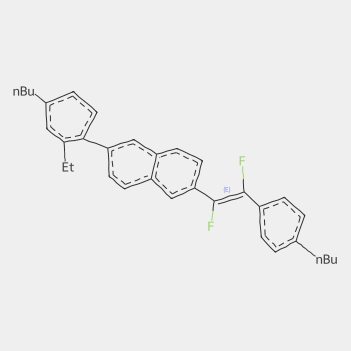 CCCCc1ccc(/C(F)=C(\F)c2ccc3cc(-c4ccc(CCCC)cc4CC)ccc3c2)cc1